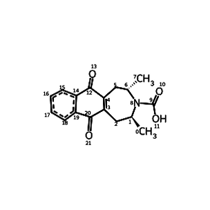 C[C@H]1CC2=C(C[C@H](C)N1C(=O)O)C(=O)c1ccccc1C2=O